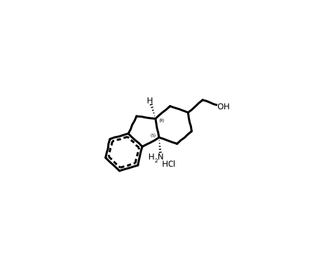 Cl.N[C@@]12CCC(CO)C[C@@H]1Cc1ccccc12